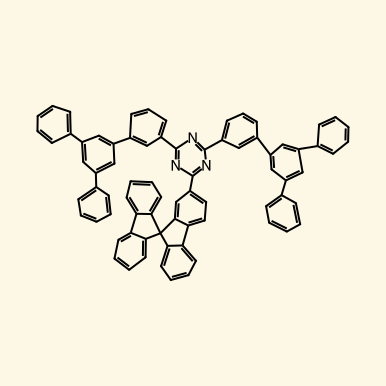 c1ccc(-c2cc(-c3ccccc3)cc(-c3cccc(-c4nc(-c5cccc(-c6cc(-c7ccccc7)cc(-c7ccccc7)c6)c5)nc(-c5ccc6c(c5)C5(c7ccccc7-c7ccccc75)c5ccccc5-6)n4)c3)c2)cc1